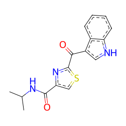 CC(C)NC(=O)c1csc(C(=O)c2c[nH]c3ccccc23)n1